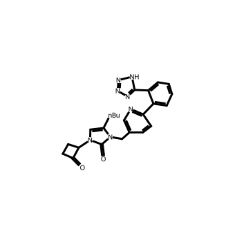 CCCCc1cn(C2CCC2=O)c(=O)n1Cc1ccc(-c2ccccc2-c2nnn[nH]2)nc1